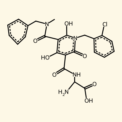 CN(Cc1ccccc1)C(=O)c1c(O)c(C(=O)NC(N)C(=O)O)c(=O)n(Cc2ccccc2Cl)c1O